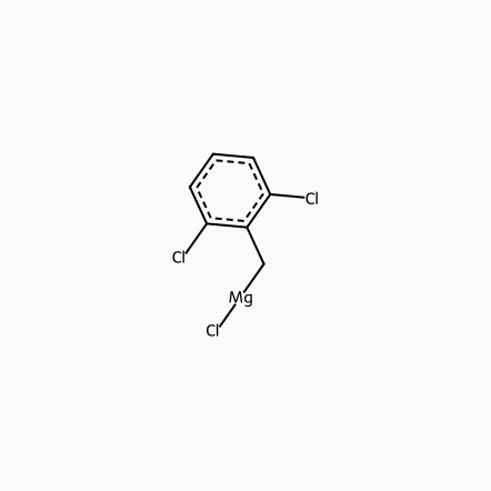 [Cl][Mg][CH2]c1c(Cl)cccc1Cl